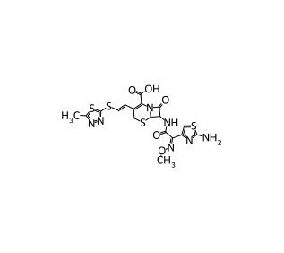 CO/N=C(\C(=O)NC1C(=O)N2C(C(=O)O)=C(/C=C/Sc3nnc(C)s3)CSC12)c1csc(N)n1